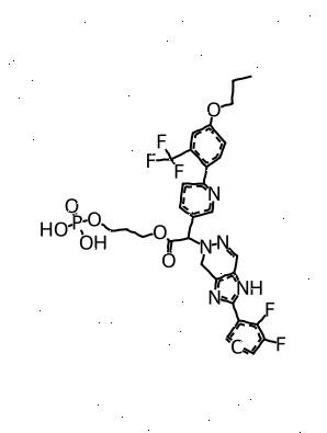 CCCOc1ccc(-c2ccc(C(C(=O)OCCCOP(=O)(O)O)N3Cc4nc(-c5cccc(F)c5F)[nH]c4C=N3)cn2)c(C(F)(F)F)c1